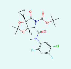 CN(C(=O)[C@@H]1[C@@H]2OC(C)(C)O[C@]2(C2CC2)C(=O)N1C(=O)OC(C)(C)C)c1cc(Cl)c(F)cc1F